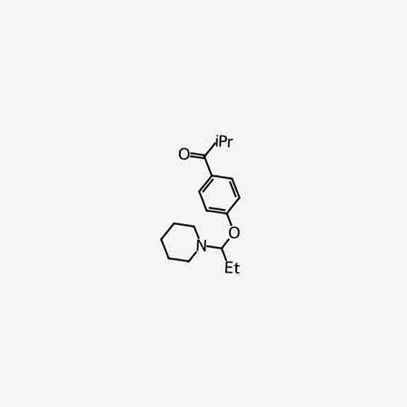 CCC(Oc1ccc(C(=O)C(C)C)cc1)N1CCCCC1